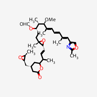 CO[C@@H](/C(C)=C/C=C/C(C)=C/c1coc(C)n1)[C@@H](C)[C@H](CC[C@]1(C)O[C@@H]1/C=C/C(C)C1C[C@@H](C[C@H]2O[C@H]2C)CC(=O)O1)OC=O